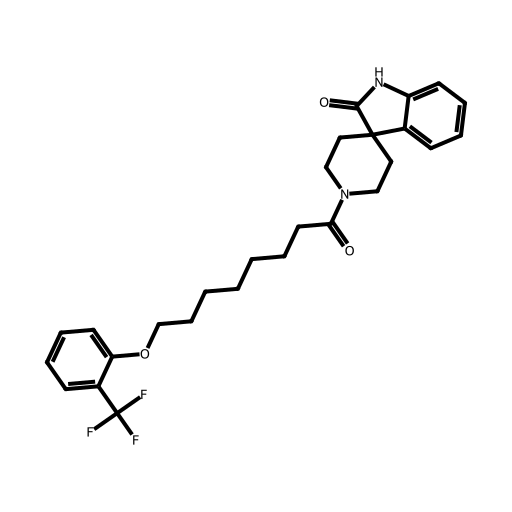 O=C(CCCCCCCOc1ccccc1C(F)(F)F)N1CCC2(CC1)C(=O)Nc1ccccc12